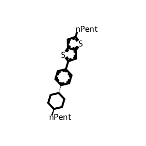 CCCCCc1cc2sc(-c3ccc([C@H]4CC[C@H](CCCCC)CC4)cc3)cc2s1